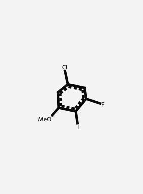 COc1cc(Cl)cc(F)c1I